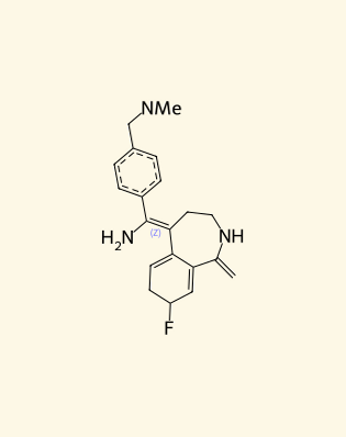 C=C1NCC/C(=C(/N)c2ccc(CNC)cc2)C2=CCC(F)C=C12